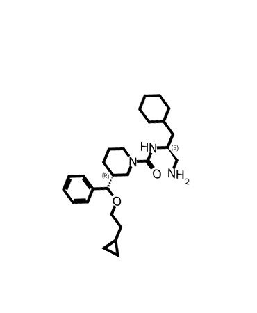 NC[C@H](CC1CCCCC1)NC(=O)N1CCC[C@@H](C(OCCC2CC2)c2ccccc2)C1